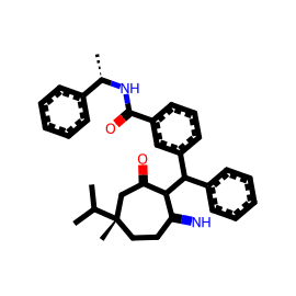 CC(C)[C@@]1(C)CCC(=N)C(C(c2ccccc2)c2cccc(C(=O)N[C@@H](C)c3ccccc3)c2)C(=O)C1